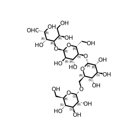 O=C[C@H](O)[C@@H](O)[C@H](O[C@H]1O[C@H](CO)[C@@H](O[C@H]2O[C@H](CO[C@H]3O[C@H](CO)[C@@H](O)[C@H](O)[C@H]3O)[C@@H](O)[C@H](O)[C@H]2O)[C@H](O)[C@H]1O)[C@H](O)CO